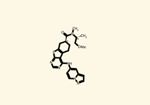 COC[C@@H](C)N(C)C(=O)[C@H]1CCc2c(sc3ncnc(Nc4ccn5nccc5c4)c23)C1